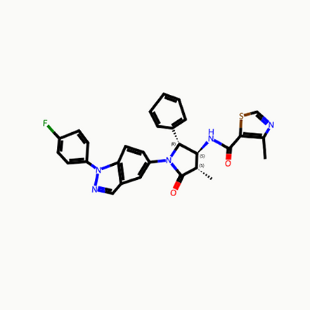 Cc1ncsc1C(=O)N[C@H]1[C@H](C)C(=O)N(c2ccc3c(cnn3-c3ccc(F)cc3)c2)[C@@H]1c1ccccc1